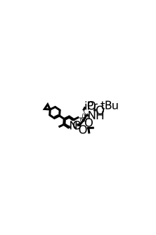 Cc1cnc(C[C@]2([C@H](CC(C)C)NC(=O)OC(C)(C)C)OC(C)(C)OC2=O)cc1C1=CCC2(CC1)CC2